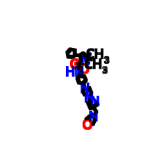 Cc1cc(-c2ccccc2)c(C(=O)C(=O)Nc2ccc(N3CCN(c4ccc(CN5CCOCC5)cn4)CC3)cc2)n1C